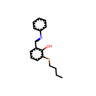 CCCCSc1cccc(/C=N/c2ccccc2)c1O